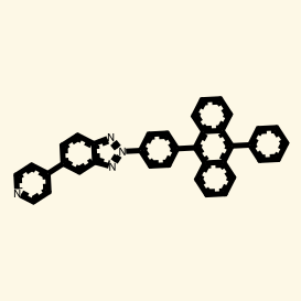 c1ccc(-c2c3ccccc3c(-c3ccc(-n4nc5ccc(-c6ccncc6)cc5n4)cc3)c3ccccc23)cc1